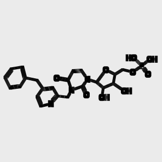 O=c1ccn(C2OC(COP(=O)(O)O)C(O)C2O)c(=O)n1Cc1cc(Cc2ccccc2)ccn1